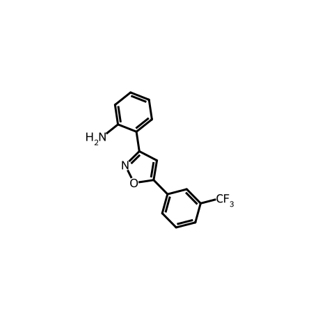 Nc1ccccc1-c1cc(-c2cccc(C(F)(F)F)c2)on1